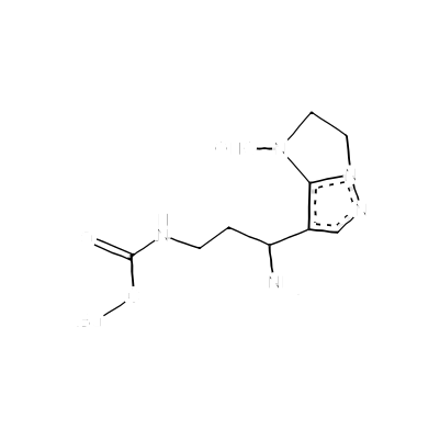 CC(C)(C)OC(=O)NCCC(N)c1cnn2c1N(C=O)CC2